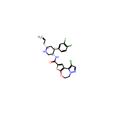 C=CC[C@@H]1C[C@@H](c2ccc(F)c(F)c2)[C@H](NC(=O)c2cc3c(s2)OCCn2ncc(Br)c2-3)CN1